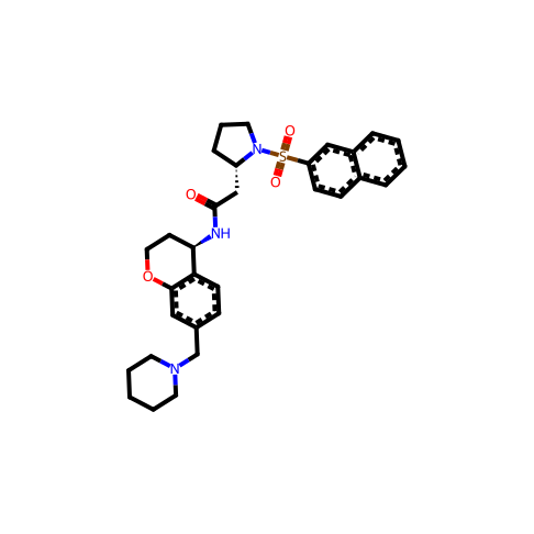 O=C(C[C@@H]1CCCN1S(=O)(=O)c1ccc2ccccc2c1)N[C@@H]1CCOc2cc(CN3CCCCC3)ccc21